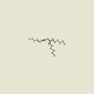 CCC/C=C/C#CC=C(OCCCCC)OCCCCC